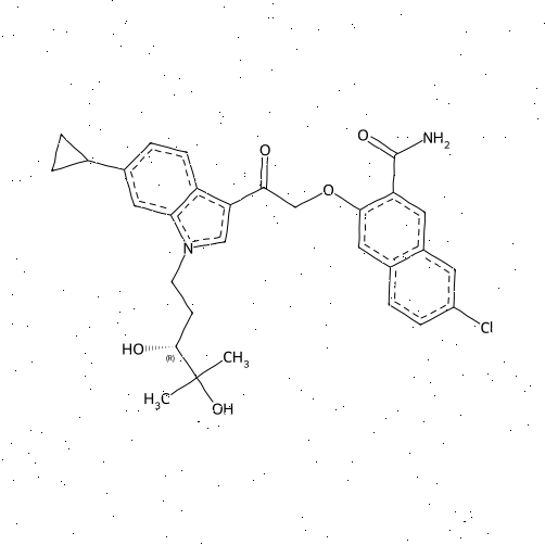 CC(C)(O)[C@H](O)CCn1cc(C(=O)COc2cc3ccc(Cl)cc3cc2C(N)=O)c2ccc(C3CC3)cc21